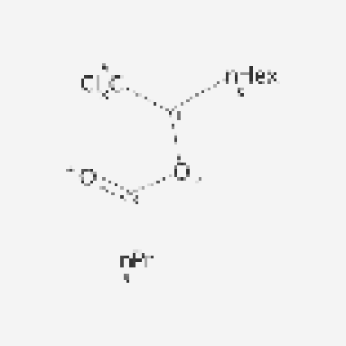 CCCCCCC(OC(=O)CCC)C(Cl)(Cl)Cl